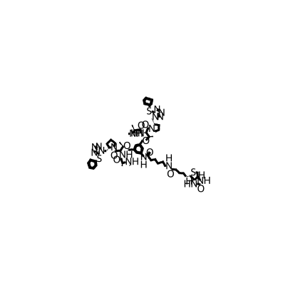 CN[C@@H](C)C(=O)N[C@H](C(=O)N1CCC[C@H]1Cn1nnnc1Sc1ccccc1)[C@@H](C)OCc1cc(CO[C@H](C)[C@H](NC(=O)[C@H](C)NC)C(=O)N2CCC[C@H]2Cn2nnnc2Sc2ccccc2)cc(NC(=O)CCCCCNC(=O)CCCC[C@@H]2SC[C@@H]3NC(=O)N[C@@H]32)c1